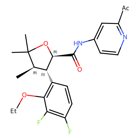 CCOc1c([C@@H]2[C@@H](C)C(C)(C)O[C@H]2C(=O)Nc2ccnc(C(C)=O)c2)ccc(F)c1F